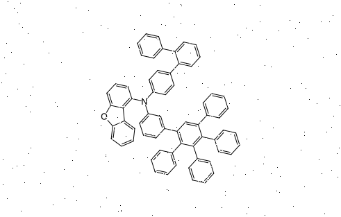 c1ccc(-c2ccccc2-c2ccc(N(c3cccc(-c4cc(-c5ccccc5)c(-c5ccccc5)c(-c5ccccc5)c4-c4ccccc4)c3)c3cccc4oc5ccccc5c34)cc2)cc1